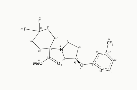 COC(=O)C1(N2CC[C@@H](Oc3cccc(C(F)(F)F)c3)C2)CCC(F)(F)CC1